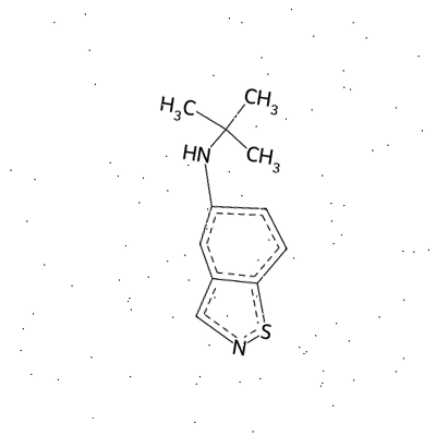 CC(C)(C)Nc1ccc2sncc2c1